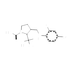 CC(C)(C)C1C(COc2ccc(Br)cc2F)CCN1C(=O)O